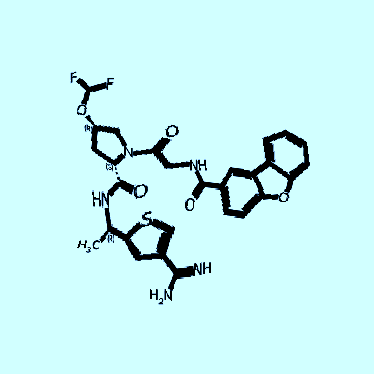 C[C@@H](NC(=O)[C@@H]1C[C@@H](OC(F)F)CN1C(=O)CNC(=O)c1ccc2oc3ccccc3c2c1)c1cc(C(=N)N)cs1